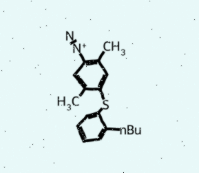 CCCCc1ccccc1Sc1cc(C)c([N+]#N)cc1C